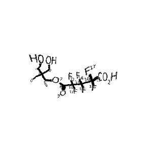 CC(CO)(CO)COC(=O)C(F)(F)C(F)(F)C(F)(F)C(=O)O